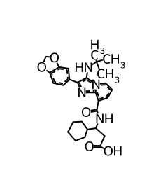 CC(C)(C)Nc1c(-c2ccc3c(c2)OCO3)nc2c(C(=O)NC(CC(=O)O)C3CCCCC3)cccn12